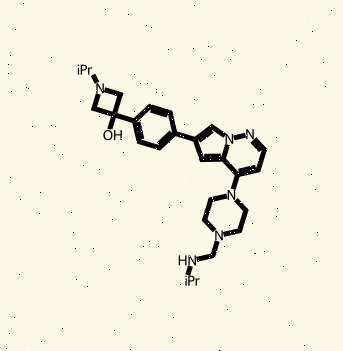 CC(C)NCN1CCN(c2ccnn3cc(-c4ccc(C5(O)CN(C(C)C)C5)cc4)cc23)CC1